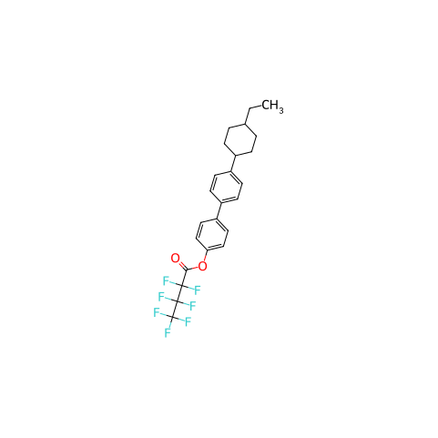 CCC1CCC(c2ccc(-c3ccc(OC(=O)C(F)(F)C(F)(F)C(F)(F)F)cc3)cc2)CC1